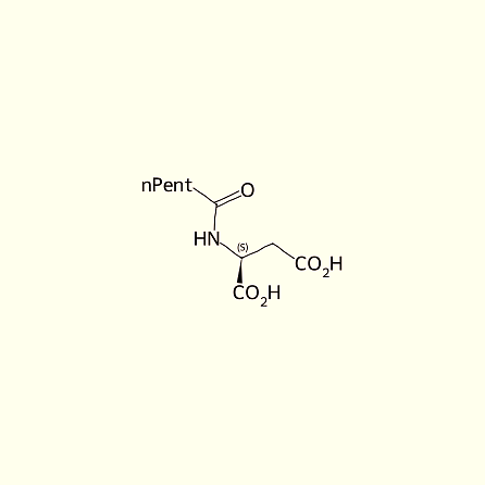 CCCCCC(=O)N[C@@H](CC(=O)O)C(=O)O